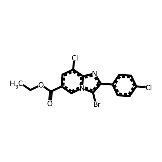 CCOC(=O)c1cc(Cl)c2nc(-c3ccc(Cl)cc3)c(Br)n2c1